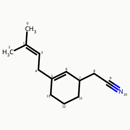 CC(C)=CCC1=CC(CC#N)CCC1